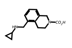 O=C(O)N1CCc2c(CNC3CC3)cccc2C1